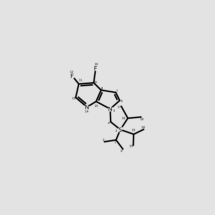 CC(C)S(Cn1ccc2c(F)c(F)cnc21)(C(C)C)C(C)C